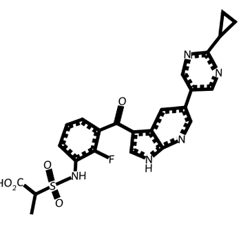 CC(C(=O)O)S(=O)(=O)Nc1cccc(C(=O)c2c[nH]c3ncc(-c4cnc(C5CC5)nc4)cc23)c1F